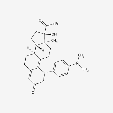 CCCC(=O)[C@@]1(O)CC[C@H]2[C@@H]3CCC4=CC(=O)C[C@@H](c5ccc(N(C)C)cc5)C4=C3CC[C@@]21C